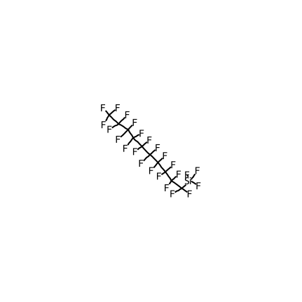 FC(F)(F)C(F)(F)C(F)(F)C(F)(F)C(F)(F)C(F)(F)C(F)(F)C(F)(F)C(F)(F)C(F)(F)[Si](F)(F)F